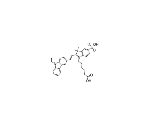 CCn1c2ccccc2c2cc(/C=C/C3=[N+](CCCCCC(=O)O)c4ccc(S(=O)(=O)O)cc4C3(C)C)ccc21